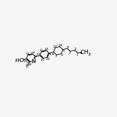 CCCCCC1CCC(c2ccc(-c3ccc(O)c(F)n3)cc2)CC1